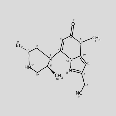 CC[C@@H]1CN(c2cc(=O)n(C)c3cc(CC#N)nn23)[C@@H](C)CN1